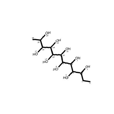 CCC(O)C(O)C(O)C(O)C(O)C(O)C(O)C(O)C(C)O